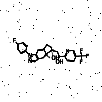 C[C@]12Cc3cnn(-c4ccc(F)cc4)c3C=C1CC[C@@]2(O)CC(O)c1ccc(C(F)(F)F)cn1